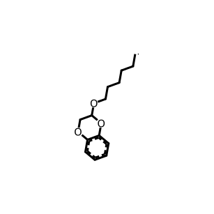 [CH2]CCCCCOC1COc2ccccc2O1